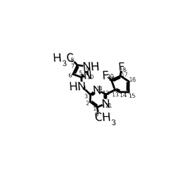 Cc1cc(Nc2cc(C)[nH]n2)nc(-c2cccc(F)c2F)n1